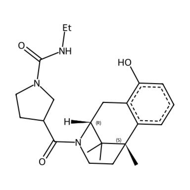 CCNC(=O)N1CCC(C(=O)N2CC[C@@]3(C)c4cccc(O)c4C[C@@H]2C3(C)C)C1